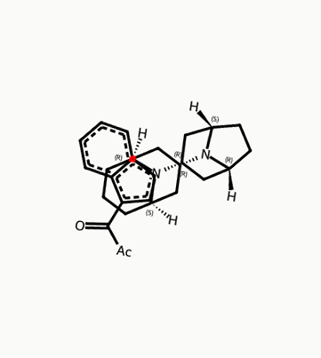 CC(=O)C(=O)c1cn([C@H]2C[C@H]3CC[C@@H](C2)N3[C@H]2C[C@@H]3CCC[C@@H](C3)C2)c2ccccc12